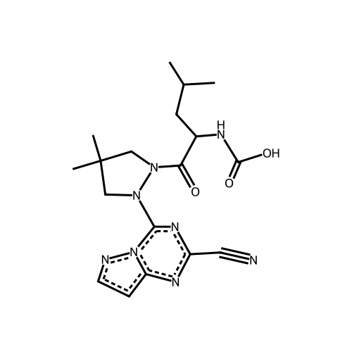 CC(C)CC(NC(=O)O)C(=O)N1CC(C)(C)CN1c1nc(C#N)nc2ccnn12